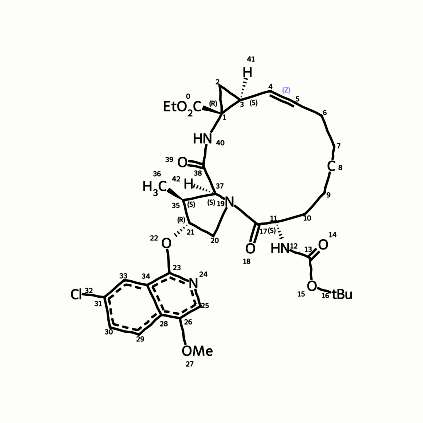 CCOC(=O)[C@@]12C[C@H]1/C=C\CCCCC[C@H](NC(=O)OC(C)(C)C)C(=O)N1C[C@H](Oc3ncc(OC)c4ccc(Cl)cc34)[C@@H](C)[C@H]1C(=O)N2